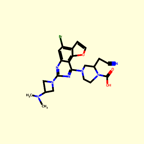 CN(C)C1CN(c2nc(N3CCN(C(=O)O)C(CC#N)C3)c3c(cc(Br)c4ccoc43)n2)C1